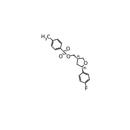 Cc1ccc(S(=O)(=O)OC[C@H]2CO[C@@H](c3ccc(F)cc3)C2)cc1